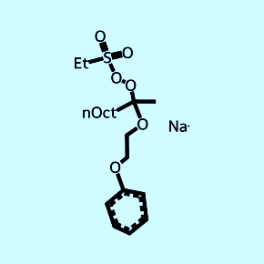 CCCCCCCCC(C)(OCCOc1ccccc1)OOS(=O)(=O)CC.[Na]